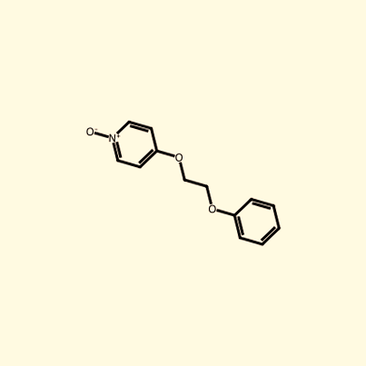 [O-][n+]1ccc(OCCOc2ccccc2)cc1